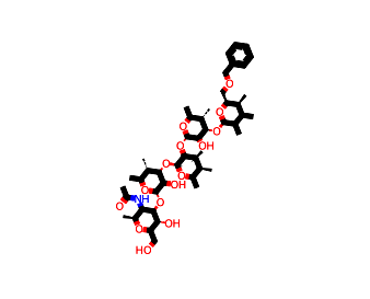 CC(=O)NC1[C@H](C)OC(CO)[C@@H](O)[C@@H]1O[C@@H]1OC(C)[C@H](C)[C@H](O[C@@H]2OC(C)[C@H](C)[C@H](C)C2O[C@@H]2OC(C)[C@H](C)[C@H](O[C@H]3O[C@@H](COCc4ccccc4)[C@@H](C)C(C)C3C)C2O)C1O